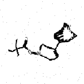 CC(C)(C)C(=O)ON1CC=C(c2ccncc2)C1